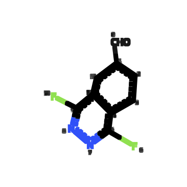 O=Cc1ccc2c(F)nnc(F)c2c1